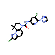 CC1(C)CCN(C(=O)Nc2cnc(-n3nccn3)c(Cl)c2)c2ccc3cc(Cl)nn3c21